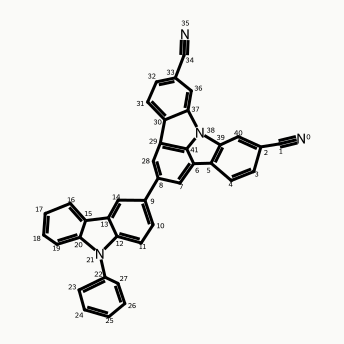 N#Cc1ccc2c3cc(-c4ccc5c(c4)c4ccccc4n5-c4ccccc4)cc4c5ccc(C#N)cc5n(c2c1)c34